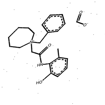 Cc1cccc(O)c1NC(=O)C[N+]1(Cc2ccccc2)CCCCCC1.O=C[O-]